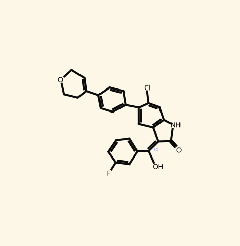 O=C1Nc2cc(Cl)c(-c3ccc(C4=CCOCC4)cc3)cc2/C1=C(/O)c1cccc(F)c1